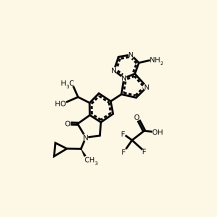 CC(O)c1cc(-c2cnc3c(N)ncnn23)cc2c1C(=O)N([C@@H](C)C1CC1)C2.O=C(O)C(F)(F)F